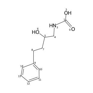 O=C(O)NCC(O)CCc1ccccc1